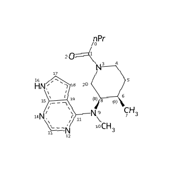 C[CH]CC(=O)N1CC[C@@H](C)[C@@H](N(C)c2ncnc3[nH]ccc23)C1